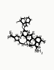 C[C@H]1CN2CCCC2(COc2nc3c4c(c(Cl)c(-c5ccc(F)c6sc(N)c(C#N)c56)c(F)c4n2)OCCC2CC(=C(F)F)CN32)C1